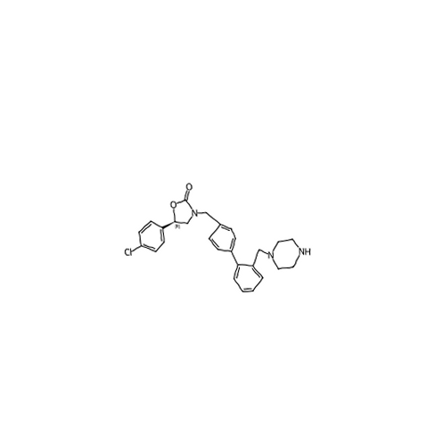 O=C1O[C@H](c2ccc(Cl)cc2)CN1Cc1ccc(-c2ccccc2CN2CCNCC2)cc1